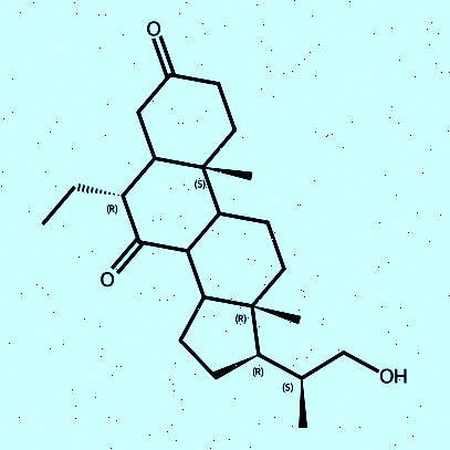 CC[C@H]1C(=O)C2C(CC[C@@]3(C)C2CC[C@@H]3[C@H](C)CO)[C@@]2(C)CCC(=O)CC12